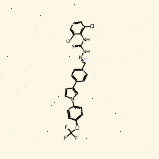 FC(F)(F)Oc1ccc(-n2ccc(-c3ccc(/C=N/NC(=S)Nc4c(Cl)cccc4Cl)cc3)c2)cc1